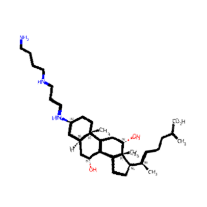 CC(CCC[C@@H](C)[C@H]1CCC2C3C(C[C@H](O)[C@@]21C)[C@@]1(C)CC[C@H](NCCCNCCCCN)C[C@@H]1C[C@H]3O)C(=O)O